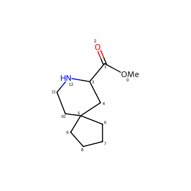 COC(=O)C1CC2(CCCC2)CCN1